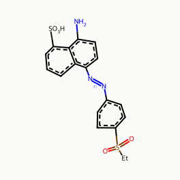 CCS(=O)(=O)c1ccc(/N=N/c2ccc(N)c3c(S(=O)(=O)O)cccc23)cc1